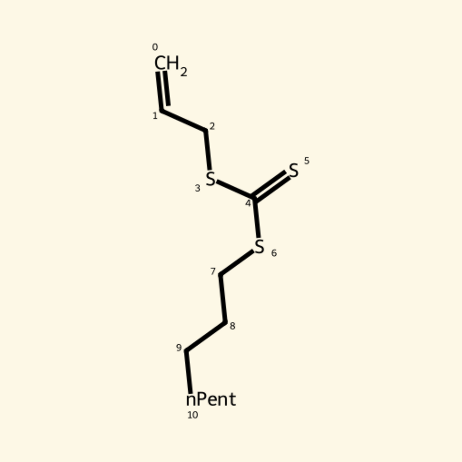 C=CCSC(=S)SCCCCCCCC